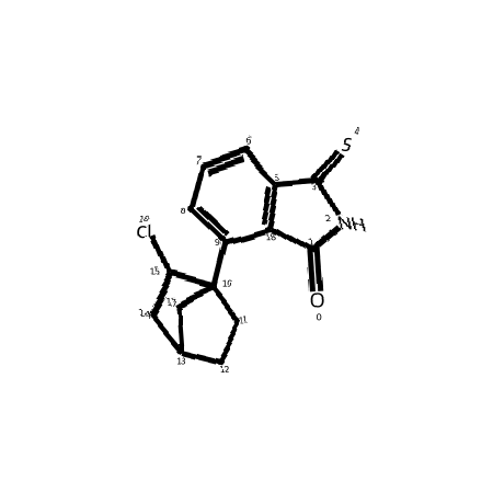 O=C1NC(=S)c2cccc(C34CCC(CC3Cl)C4)c21